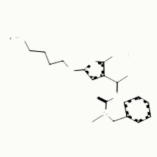 CCCCCCCCCCCCCCOc1cc(C(C)OC(=O)N(C)Cc2ccccc2)c(C(=O)O)o1